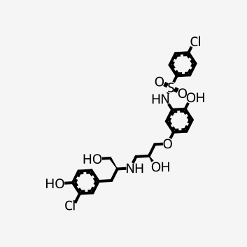 O=S(=O)(Nc1cc(OC[C@@H](O)CN[C@H](CO)Cc2ccc(O)c(Cl)c2)ccc1O)c1ccc(Cl)cc1